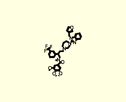 COc1cc(C(=O)N(C)CC(CCN2CCCN(c3nc4ccccc4n3Cc3ccoc3)CC2)c2cccc(C(F)(F)F)c2)cc(OC)c1OC